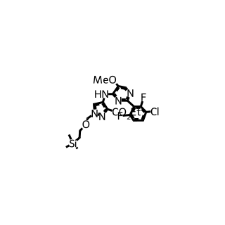 CCOC(=O)c1nn(COCC[Si](C)(C)C)cc1Nc1nc(-c2c(F)ccc(Cl)c2F)ncc1OC